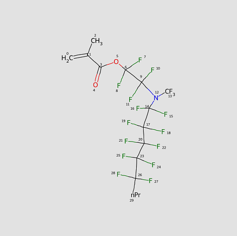 C=C(C)C(=O)OC(F)(F)C(F)(F)N(C(F)(F)F)C(F)(F)C(F)(F)C(F)(F)C(F)(F)C(F)(F)CCC